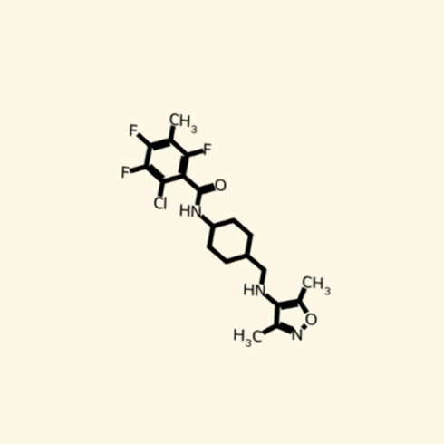 Cc1noc(C)c1NCC1CCC(NC(=O)c2c(F)c(C)c(F)c(F)c2Cl)CC1